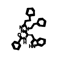 O=C(N[C@H](Cc1c[nH]c2ccccc12)c1nnc(CCc2ccccc2)n1CCc1ccccc1)c1ccccc1